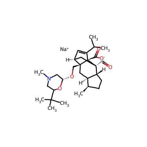 CC(C)C1=C[C@H]2C[C@@]3(C=O)[C@@H]4CC[C@@H](C)[C@H]4C[C@@]2(CO[C@H]2CN(C)CC(C(C)(C)C)O2)[C@]13C(=O)[O-].[Na+]